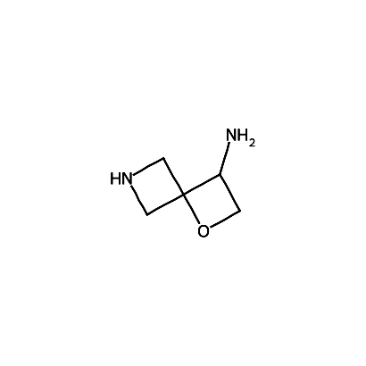 NC1COC12CNC2